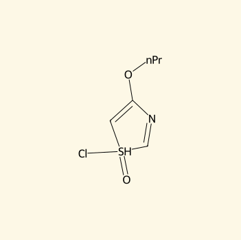 CCCOC1=C[SH](=O)(Cl)C=N1